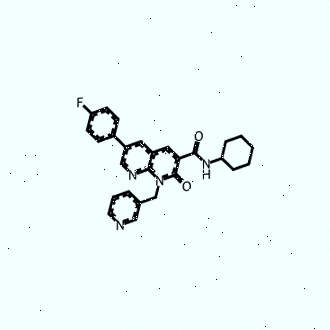 O=C(NC1CCCCC1)c1cc2cc(-c3ccc(F)cc3)cnc2n(Cc2cccnc2)c1=O